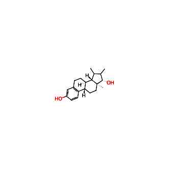 CC1C(C)[C@H]2[C@@H]3CCc4cc(O)ccc4[C@H]3CC[C@]2(C)[C@H]1O